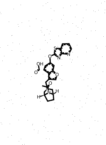 CC(=O)N1[C@@H]2CC[C@H]1CN(Cc1coc3cc(Oc4nc5ncccc5s4)ccc13)C2.O=CO